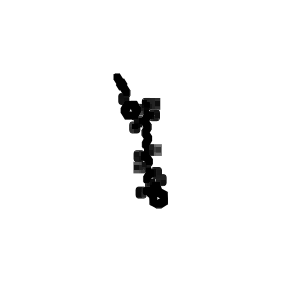 CC#CCOc1ccc([S+]([O-])C(CCCCNC(=O)CNC(=O)CN2C(=O)c3ccccc3C2=O)C(=O)NO)cc1